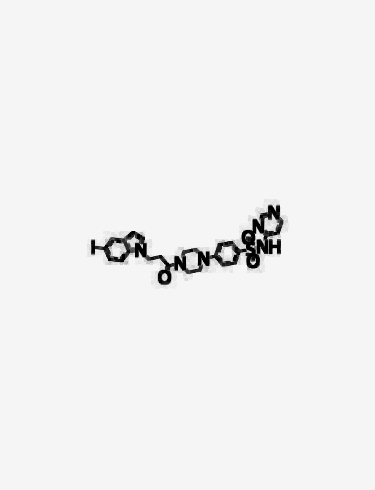 O=C(CCn1ccc2cc(I)ccc21)N1CCN(c2ccc(S(=O)(=O)Nc3ccncn3)cc2)CC1